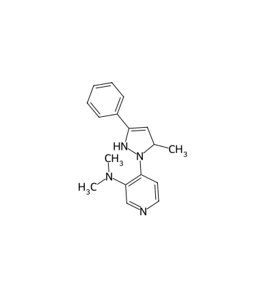 CC1C=C(c2ccccc2)NN1c1ccncc1N(C)C